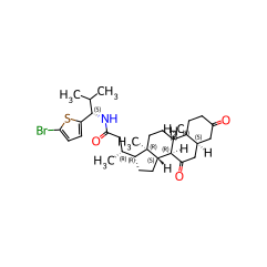 CC(C)[C@H](NC(=O)C[C@@H](C)[C@H]1CC[C@H]2[C@@H]3C(=O)C[C@@H]4CC(=O)CC[C@]4(C)[C@H]3CC[C@]12C)c1ccc(Br)s1